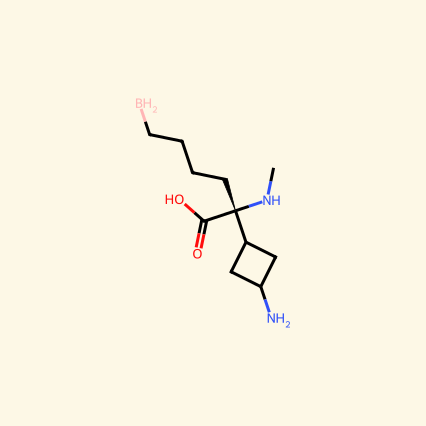 BCCCC[C@](NC)(C(=O)O)C1CC(N)C1